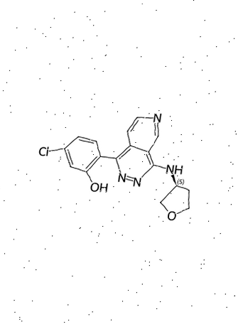 Oc1cc(Cl)ccc1-c1nnc(N[C@H]2CCOC2)c2cnccc12